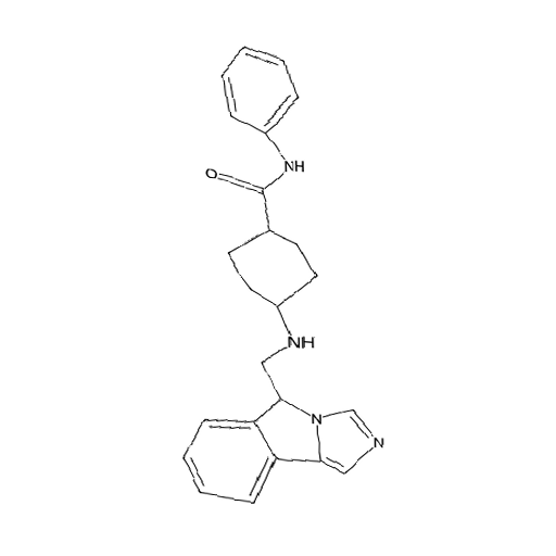 O=C(Nc1ccccc1)C1CCC(NCC2c3ccccc3-c3cncn32)CC1